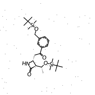 C[C@@H](O[Si](C)(C)C(C)(C)C)[C@H]1C(=O)N[C@@H]1CC(=O)c1cccc(CO[Si](C)(C)C(C)(C)C)c1